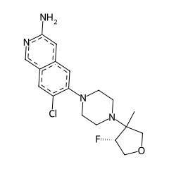 CC1(N2CCN(c3cc4cc(N)ncc4cc3Cl)CC2)COC[C@@H]1F